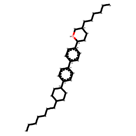 CCCCCCCC1CCC(c2ccc(-c3ccc(C4CCC(CCCCCC)CO4)cc3)cc2)CC1